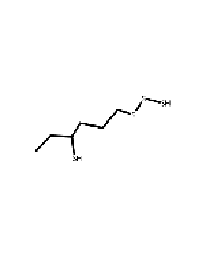 CCC(S)CCCSSS